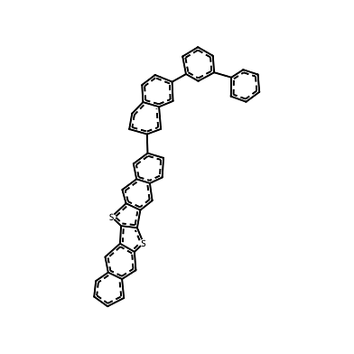 c1ccc(-c2cccc(-c3ccc4ccc(-c5ccc6cc7c(cc6c5)sc5c6cc8ccccc8cc6sc75)cc4c3)c2)cc1